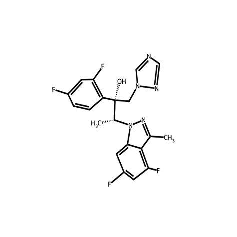 Cc1nn([C@H](C)[C@](O)(Cn2cncn2)c2ccc(F)cc2F)c2cc(F)cc(F)c12